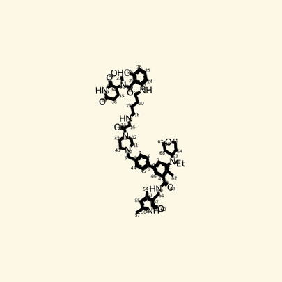 CCN(c1cc(-c2ccc(CN3CCN(C(=O)CNCCCCNc4cccc(C=O)c4C(=O)N(C)C4CCC(=O)NC4=O)CC3)cc2)cc(C(=O)NCc2c(C)cc(C)[nH]c2=O)c1C)C1CCOCC1